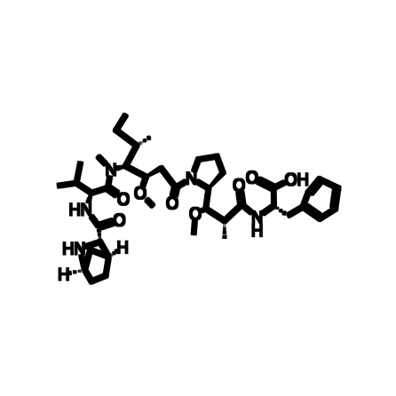 CC[C@H](C)[C@@H]([C@@H](CC(=O)N1CCC[C@H]1[C@H](OC)[C@@H](C)C(=O)N[C@@H](Cc1ccccc1)C(=O)O)OC)N(C)C(=O)[C@@H](NC(=O)[C@H]1N[C@@H]2CC[C@H]1C2)C(C)C